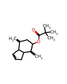 C=C1CC(OC(=O)C(C)(C)C)C(=C)C2CC=CC12